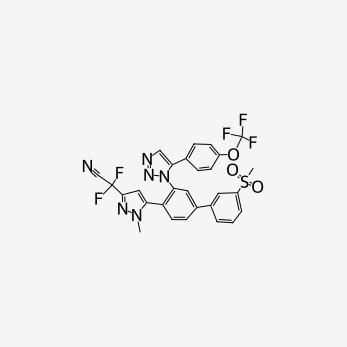 Cn1nc(C(F)(F)C#N)cc1-c1ccc(-c2cccc(S(C)(=O)=O)c2)cc1-n1nncc1-c1ccc(OC(F)(F)F)cc1